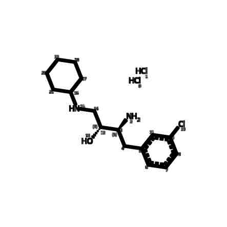 Cl.Cl.N[C@@H](Cc1cccc(Cl)c1)[C@H](O)CNC1CCCCC1